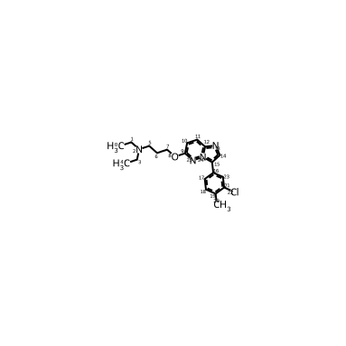 CCN(CC)CCCOc1ccc2ncc(-c3ccc(C)c(Cl)c3)n2n1